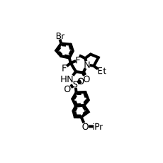 CCC1CCC(C)N1C(=O)C(NS(=O)(=O)c1ccc2cc(OC(C)C)ccc2c1)C(F)(F)c1ccc(Br)cc1